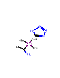 CCCC[PH](CCCC)(CCCC)C(N)CC.c1nnn[nH]1